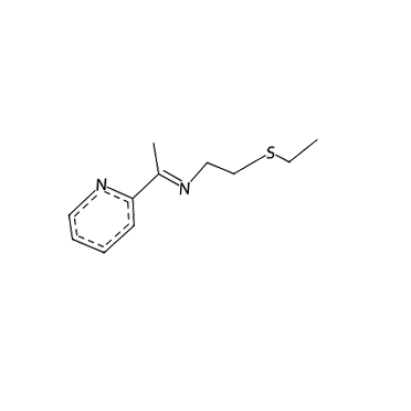 CCSCC/N=C(\C)c1ccccn1